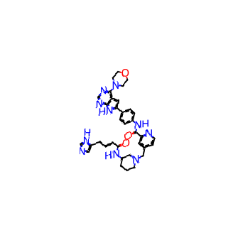 O=C(/C=C/Cc1cnc[nH]1)N[C@@H]1CCCN(Cc2ccnc(C(=O)Nc3ccc(-c4cc5c(N6CCOCC6)ncnc5[nH]4)cc3)c2)C1